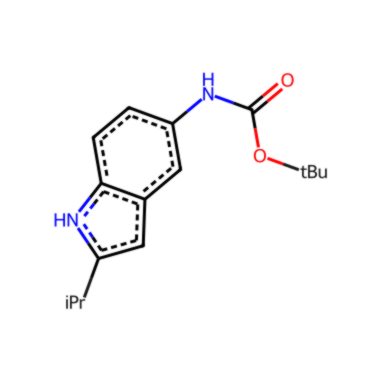 CC(C)c1cc2cc(NC(=O)OC(C)(C)C)ccc2[nH]1